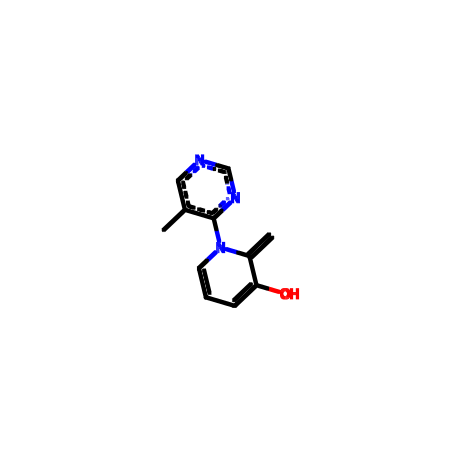 C=C1C(O)=CC=CN1c1ncncc1C